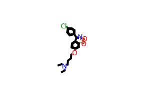 CCN(CC)CCCCOc1ccc2c(c1)S(=O)(=O)N=C2c1ccc(Cl)cc1